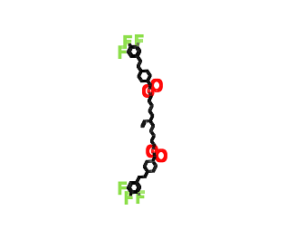 C=CC(CCCCCOC(=O)C1CCC(CCc2cc(F)c(F)c(F)c2)CC1)CCCCCOC(=O)C1CCC(CCc2cc(F)c(F)c(F)c2)CC1